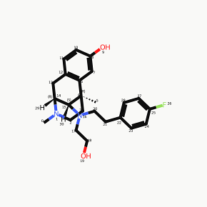 CN1CC[C@]2(C)c3cc(O)ccc3C[C@@H]1[C@H]2N(CCO)CCc1ccc(F)cc1